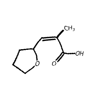 CC(=CC1CCCO1)C(=O)O